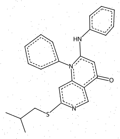 CC(C)CSc1cc2c(cn1)c(=O)cc(Nc1ccccc1)n2-c1ccccc1